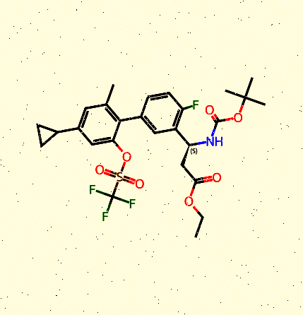 CCOC(=O)C[C@H](NC(=O)OC(C)(C)C)c1cc(-c2c(C)cc(C3CC3)cc2OS(=O)(=O)C(F)(F)F)ccc1F